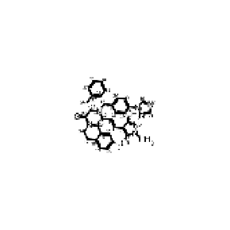 Cc1nn(C)c(C)c1C=CC(=O)N(Cc1ccc(-n2cncn2)cc1)[C@@H](Cc1ccccc1)C(=O)N1CCc2ccccc2C1